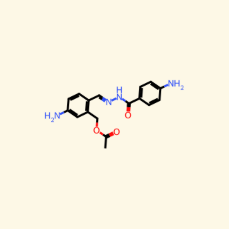 CC(=O)OCc1cc(N)ccc1/C=N/NC(=O)c1ccc(N)cc1